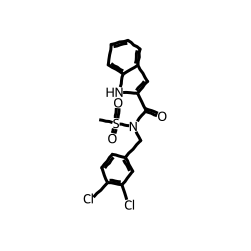 CS(=O)(=O)N(Cc1ccc(Cl)c(Cl)c1)C(=O)c1cc2ccccc2[nH]1